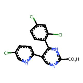 O=C(O)c1ncc(-c2ccc(Cl)cn2)c(-c2ccc(Cl)cc2Cl)n1